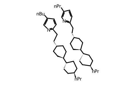 CCCCc1ccc(CC[C@H]2CC[C@H]([C@H]3CC[C@H](CCC)CC3)CC2)nc1.CCCc1ccc(CC[C@H]2CC[C@H]([C@H]3CC[C@H](CCC)CC3)CC2)nc1